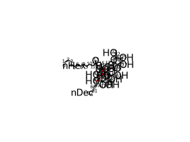 CCCCCC/C=C\C/C=C\CCCCCCC(=O)OC[C@H](CO[C@H]1OC(CO)[C@@H](O)[C@H](O)C1O[C@H]1OC(CO[C@H]2OC(CO)C(O)[C@H](O)[C@H]2O)[C@H](O)C(O)[C@H]1O)OC(=O)CCCCCCCCCCCCCCCCC